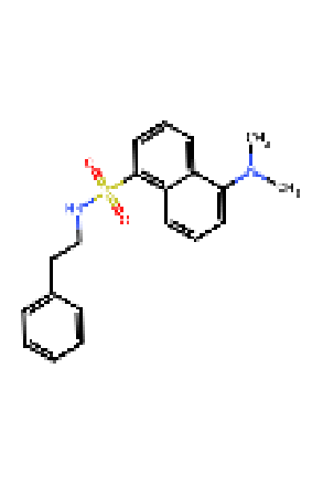 CN(C)c1cccc2c(S(=O)(=O)NCCc3ccccc3)cccc12